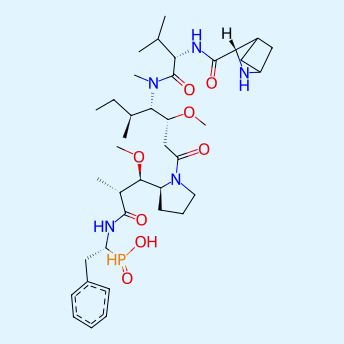 CC[C@H](C)[C@@H]([C@@H](CC(=O)N1CCC[C@H]1[C@H](OC)[C@@H](C)C(=O)N[C@@H](Cc1ccccc1)[PH](=O)O)OC)N(C)C(=O)[C@@H](NC(=O)[C@H]1NC2CC1C2)C(C)C